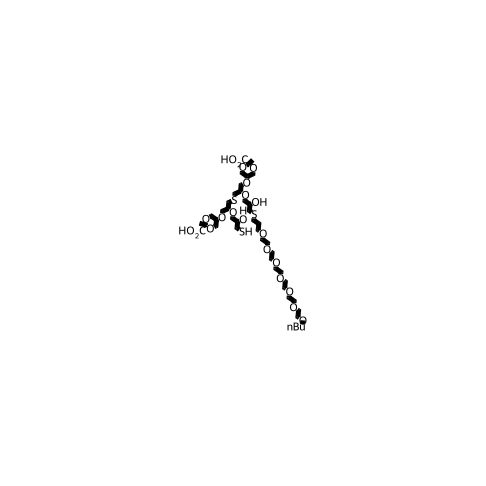 CCCCOCCOCCOCCOCCOCCOCCOCCCSCC(O)COC(COC1COC(C)(C(=O)O)OC1)CSCC(COC1COC(C)(C(=O)O)OC1)OCC(O)CS